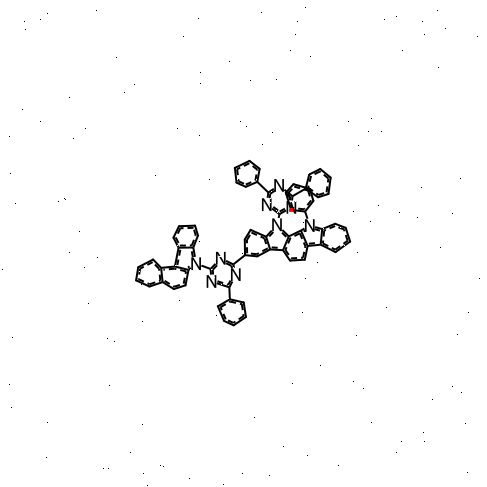 c1ccc(-c2nc(-c3ccc4c(c3)c3ccc5c6ccccc6n(-c6ccccc6)c5c3n4-c3nc(-c4ccccc4)nc(-c4ccccc4)n3)nc(-n3c4ccccc4c4c5ccccc5ccc43)n2)cc1